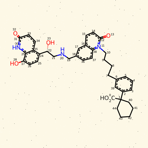 O=C(O)C1(c2cccc(CCCCn3c(=O)ccc4cc(CNC[C@@H](O)c5ccc(O)c6[nH]c(=O)ccc56)ccc43)c2)CCCCC1